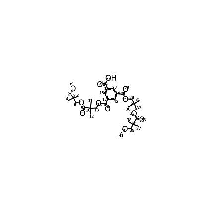 COCC(C)(C)COC(=O)C(C)(C)COC(=O)c1cc(C(=O)O)cc(C(=O)OCC(C)(C)COC(=O)C(C)(C)COC)c1